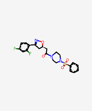 O=C(C[C@H]1CC(c2ccc(F)cc2F)=NO1)N1CCN(S(=O)(=O)c2ccccc2)CC1